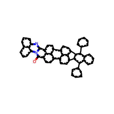 O=c1c2ccc3c4ccc5c6c(ccc(c7ccc(c2c37)c2nc3cccc7cccc(c73)n12)c64)-c1c-5c(-c2ccccc2)c2ccccc2c1-c1ccccc1